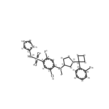 CN(c1cc(F)c(S(=O)(=O)Nc2cscn2)cc1Cl)C1CCN(C2(c3ccccc3F)CCC2)C1